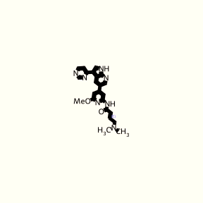 COc1cc(-c2cnc3[nH]cc(-c4ccncn4)c3c2)cc(NC(=O)/C=C/CN(C)C)n1